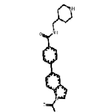 CCC(=O)n1ccc2cc(-c3ccc(C(=O)NCC4CCNCC4)cc3)ccc21